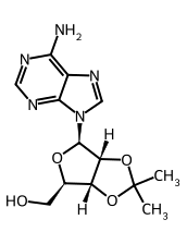 CC1(C)O[C@@H]2[C@H](O1)[C@@H](CO)O[C@H]2n1cnc2c(N)ncnc21